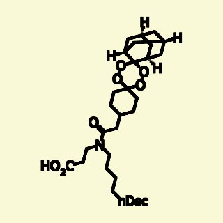 CCCCCCCCCCCCCCN(CCC(=O)O)C(=O)CC1CCC2(CC1)OOC1(OO2)[C@H]2C[C@@H]3C[C@@H](C[C@H]1C3)C2